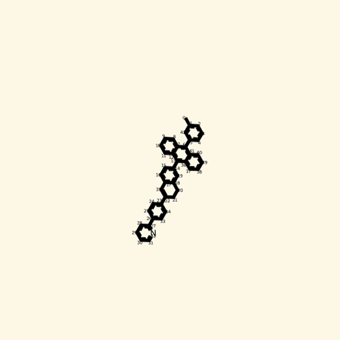 Cc1cccc(-c2c3ccccc3c(-c3ccc4c(c3)CCC(c3ccc(-c5ccccn5)cc3)=C4)c3ccccc23)c1